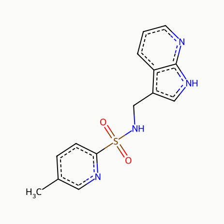 Cc1ccc(S(=O)(=O)NCc2c[nH]c3ncccc23)nc1